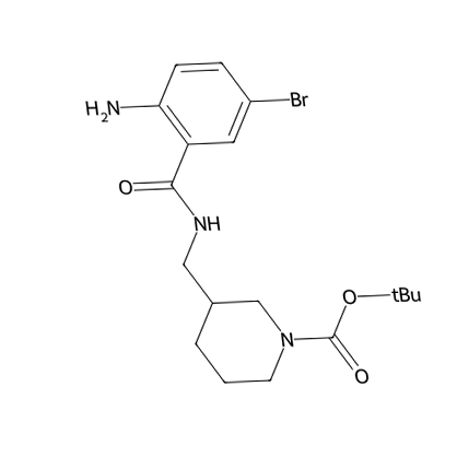 CC(C)(C)OC(=O)N1CCCC(CNC(=O)c2cc(Br)ccc2N)C1